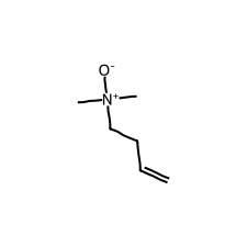 C=CCC[N+](C)(C)[O-]